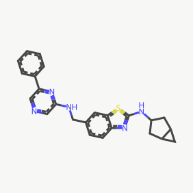 c1ccc(-c2cncc(NCc3ccc4nc(NC5CC6CC6C5)sc4c3)n2)cc1